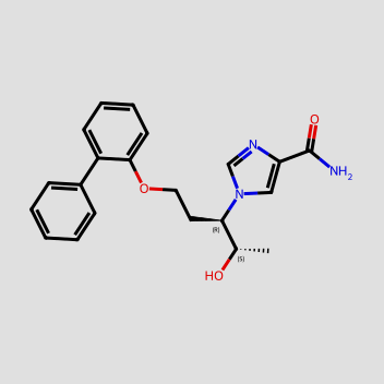 C[C@H](O)[C@@H](CCOc1ccccc1-c1ccccc1)n1cnc(C(N)=O)c1